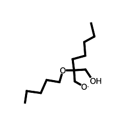 CCCCCOC(C[O])(CO)CCCCC